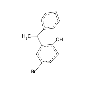 CC(c1ccccc1)c1cc(Br)ccc1O